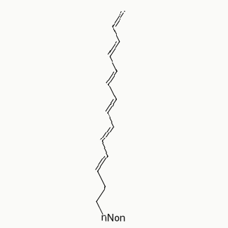 [CH]=C/C=C/C=C/C=C/C=C/C=C/CCCCCCCCCCC